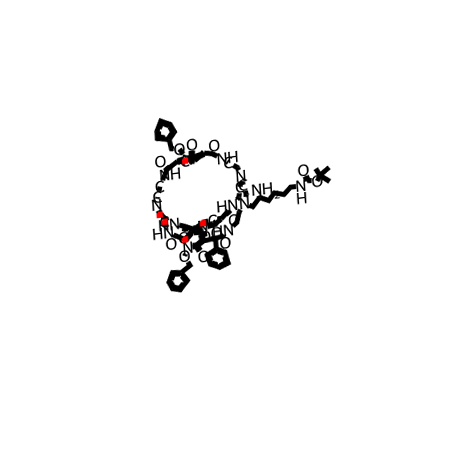 CC(C)(C)OC(=O)NCCCCC(N)CN1CCNC(=O)c2ccc(n(OCc3ccccc3)c2=O)C(=O)NCCN2CCNC(=O)c3ccc(c(=O)n3OCc3ccccc3)C(=O)NCCN(CCNC(=O)c3ccc(n(OCc4ccccc4)c3=O)C(=O)NCC2)CC1